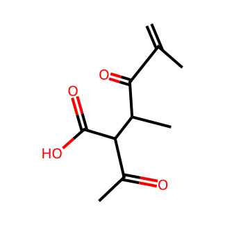 C=C(C)C(=O)C(C)C(C(C)=O)C(=O)O